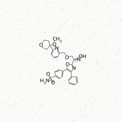 COC1(c2cccc(COC/C(=N\O)c3nc(-c4ccccc4)c(-c4ccc(S(N)(=O)=O)cc4)o3)n2)CCOCC1